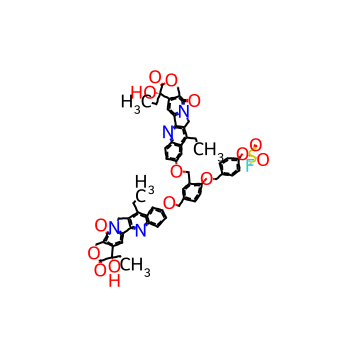 CCc1c2c(nc3ccc(OCc4ccc(OCc5ccc(OS(=O)(=O)F)cc5)c(COc5ccc6nc7c(c(CC)c6c5)Cn5c-7cc6c(c5=O)COC(=O)[C@]6(O)CC)c4)cc13)-c1cc3c(c(=O)n1C2)COC(=O)[C@]3(O)CC